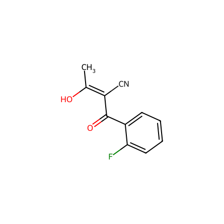 C/C(O)=C(\C#N)C(=O)c1ccccc1F